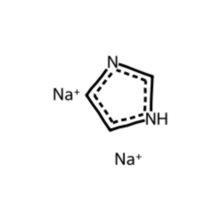 [Na+].[Na+].c1c[nH]cn1